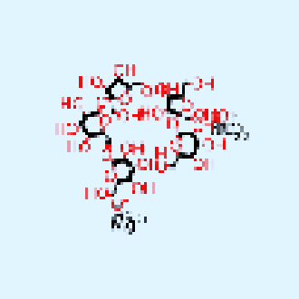 CC(=O)[O-].O=[N+]([O-])[O-].O=[N+]([O-])[O-].OC[C@H]1OC(OC[C@H]2OC(O[C@]3(CO)O[C@H](CO)[C@@H](O)[C@@H]3O)[C@H](O)[C@@H](O)[C@@H]2O)[C@H](O)[C@@H](O)[C@H]1O.OC[C@H]1O[C@@](CO)(O[C@H]2O[C@H](CO)[C@@H](O)[C@H](O)[C@H]2O)[C@@H](O)[C@@H]1O.[K+].[Mg+2]